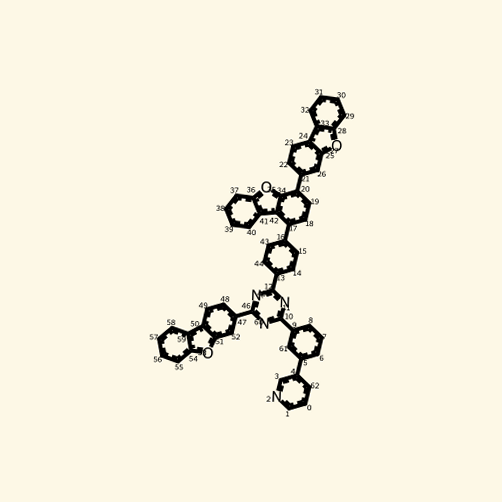 c1cncc(-c2cccc(-c3nc(-c4ccc(-c5ccc(-c6ccc7c(c6)oc6ccccc67)c6oc7ccccc7c56)cc4)nc(-c4ccc5c(c4)oc4ccccc45)n3)c2)c1